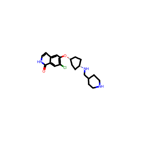 O=c1[nH]ccc2cc(O[C@H]3CC[C@@H](NCC4CCNCC4)CC3)c(Cl)cc12